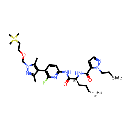 CC[C@@H](C)CCC[C@H](NC(=O)c1ccnn1CCSC)C(=O)Nc1ccc(-c2c(C)nn(COCCS(C)(C)C)c2C)c(F)n1